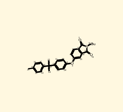 CCC(C)N1C(=O)c2ccc(Oc3ccc(C(C)(C)c4ccc(C)cc4)cc3)cc2C1=O